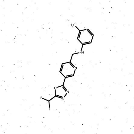 Cc1cccc(NCc2ccc(-c3nnc(C(F)F)o3)cn2)c1